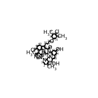 Cc1ccnc(Cn2c(C(=O)O)cc3cc(O)cc(N4CC(C)n5c(c(CCCOc6cc(C)c(Cl)c(C)c6)c6ccc(Cl)c(-c7c(C)ncnc7C)c65)C4=O)c32)c1